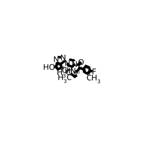 Cc1cc([C@H](C(=O)N2CCN(c3ncnc4c3[C@H](C)C[C@H]4O)CC2)[C@@H]2CCC(C)(C)N2)ccc1F